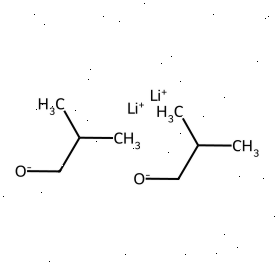 CC(C)C[O-].CC(C)C[O-].[Li+].[Li+]